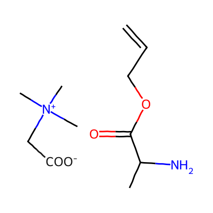 C=CCOC(=O)C(C)N.C[N+](C)(C)CC(=O)[O-]